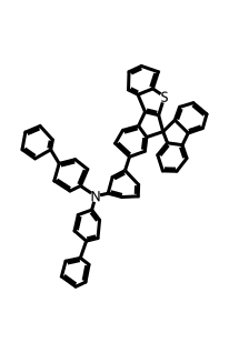 c1ccc(-c2ccc(N(c3ccc(-c4ccccc4)cc3)c3cccc(-c4ccc5c(c4)C4(c6ccccc6-c6ccccc64)c4sc6ccccc6c4-5)c3)cc2)cc1